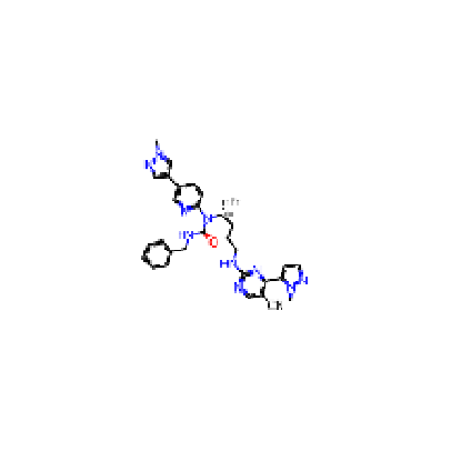 CCC[C@H](CCCNc1ncc(C#N)c(-c2ccnn2C)n1)N(C(=O)NCc1ccccc1)c1ccc(-c2cnn(C)c2)cn1